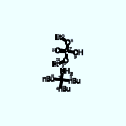 CCCCC(N)(CCCC)CCCC.CCOP(=O)(O)OCC